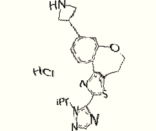 CC(C)n1ncnc1-c1nc2c(s1)CCOc1cc(C3CNC3)ccc1-2.Cl